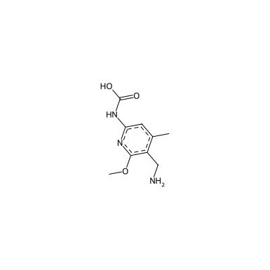 COc1nc(NC(=O)O)cc(C)c1CN